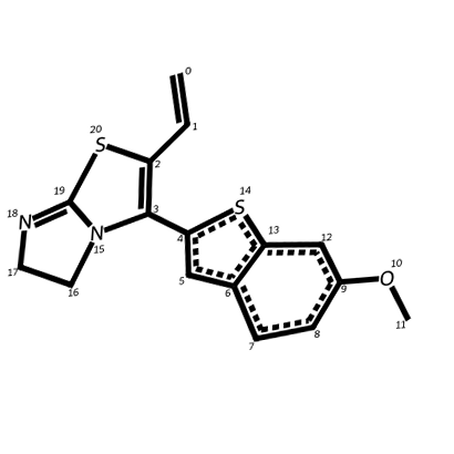 C=CC1=C(c2cc3ccc(OC)cc3s2)N2CCN=C2S1